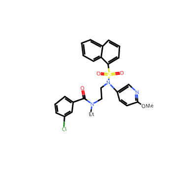 CCN(CCN(c1ccc(OC)nc1)S(=O)(=O)c1cccc2ccccc12)C(=O)c1cccc(Cl)c1